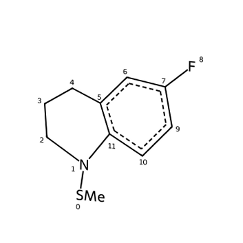 CSN1CCCc2cc(F)ccc21